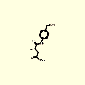 CNC(=O)C[C@H](C)C(=O)Nc1ccc(CO)cc1